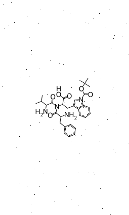 CC(C)C(N)C(=O)N(C(=O)C(N)Cc1ccccc1)C(Cc1cn(C(=O)OC(C)(C)C)c2ccccc12)C(=O)O